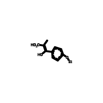 CCOc1ccc(C(O)=C(C)C(=O)O)cc1